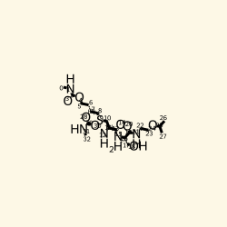 CNC(=O)OCC[C@H](CSC[C@H](N)C(=O)N[C@@H](CO)C(=O)NCCOC(C)C)OC(=O)NC